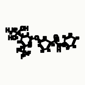 NC(O)(O)c1cc(Oc2cccc(C(=O)Nc3ccccc3)c2)nc(C(F)(F)F)c1